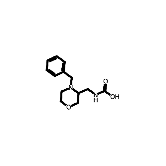 O=C(O)NCC1COCCN1Cc1ccccc1